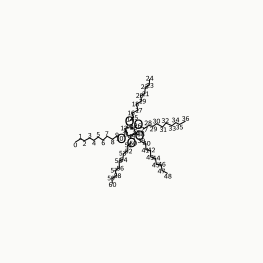 CCCCCCCCCCOc1[c]c(OCCCCCCCCCC)c(OCCCCCCCCCC)c(OCCCCCCCCCC)c1OCCCCCCCCCC